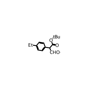 CCc1ccc(C([C]=O)C(=O)OC(C)(C)C)cc1